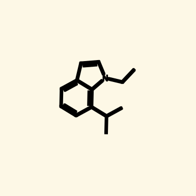 CCn1ccc2cccc(C(C)C)c21